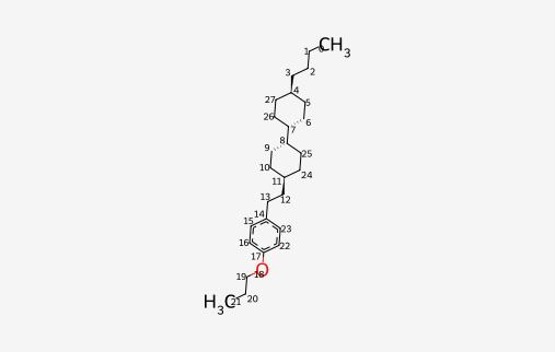 CCCC[C@H]1CC[C@H]([C@H]2CC[C@H](CCc3ccc(OCCC)cc3)CC2)CC1